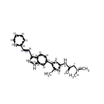 Cc1nc(NC(=O)CN(C)C)sc1-c1ccc2c(/C=C/c3ccccn3)n[nH]c2c1